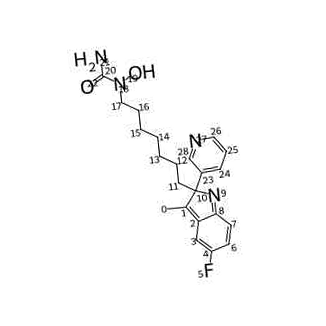 CC1=c2cc(F)ccc2=NC1(CCCCCCCN(O)C(N)=O)c1cccnc1